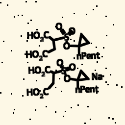 CCCCCC1(OS(=O)(=O)C(CC(=O)O)C(=O)O)CC1.CCCCCC1(OS(=O)(=O)C(CC(=O)O)C(=O)O)CC1.[Na]